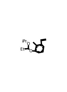 C=Cc1cccc(OC(CC)OC(C)C)c1C